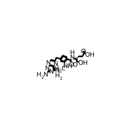 CNc1cc(Cc2cnc3nc(N)nc(N)c3n2)ccc1C(=O)N[C@@H](CCC(=O)O)C(=O)O